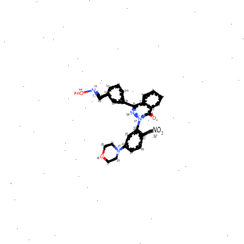 O=c1c2ccccc2c(-c2cccc(/C=N/O)c2)nn1-c1cc(N2CCOCC2)ccc1[N+](=O)[O-]